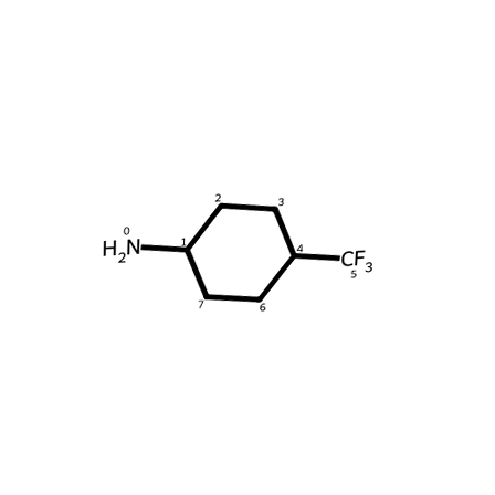 NC1CCC(C(F)(F)F)CC1